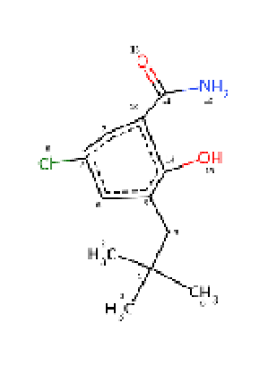 CC(C)(C)Cc1cc(Cl)cc(C(N)=O)c1O